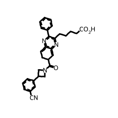 N#Cc1cccc(C2CN(C(=O)C3C=c4nc(CCCCC(=O)O)c(-c5ccccc5)nc4=CC3)C2)c1